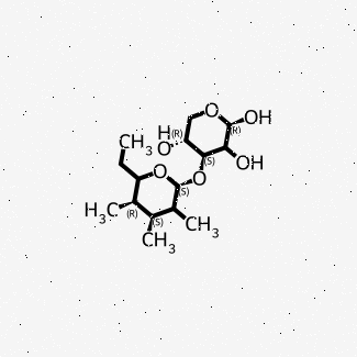 CCC1O[C@@H](O[C@@H]2C(O)[C@H](O)OC[C@H]2O)C(C)[C@@H](C)[C@H]1C